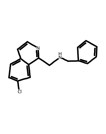 Clc1ccc2ccnc(CNCc3ccccc3)c2c1